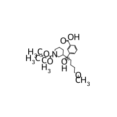 COCCCC[C@@](O)(c1cccc(C(=O)O)c1)C1CCCN(C(=O)OC(C)(C)C)C1